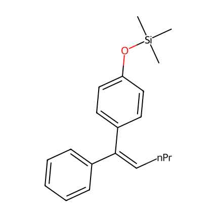 CCCC=C(c1ccccc1)c1ccc(O[Si](C)(C)C)cc1